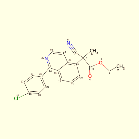 CCOC(=O)C(C)(C#N)c1cccc2c(-c3ccc(Cl)cc3)nccc12